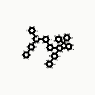 c1ccc(-c2ccc(-c3cc(-c4ccccc4)nc(-c4cccc(-c5cccc(-c6cc7c(cc6-c6ccc(-c8ccccc8)cc6)-c6ccccc6C7(c6ccccc6)c6ccccc6)c5)c4)c3)cc2)cc1